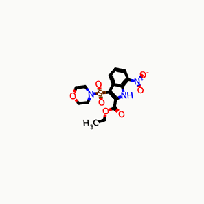 CCOC(=O)c1[nH]c2c([N+](=O)[O-])cccc2c1S(=O)(=O)N1CCOCC1